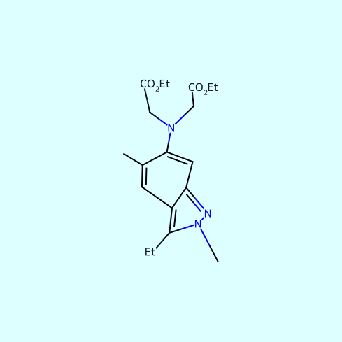 CCOC(=O)CN(CC(=O)OCC)c1cc2nn(C)c(CC)c2cc1C